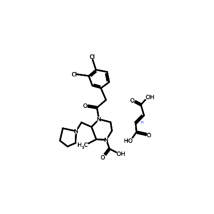 CC1C(CN2CCCC2)N(C(=O)Cc2ccc(Cl)c(Cl)c2)CCN1C(=O)O.O=C(O)/C=C/C(=O)O